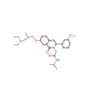 CCN(CC)CC(C)COc1ccc2cc(-c3cccc(OC)c3)n(CC(=O)NC(C)C)c(=O)c2c1